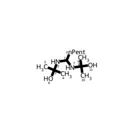 CCCCCC(NC(C)(C)O)NC(C)(C)O